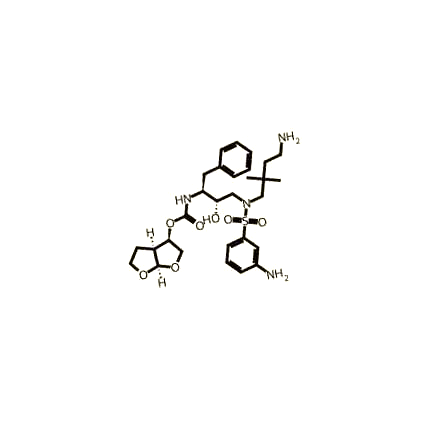 CC(C)(CCN)CN(C[C@H](O)[C@H](Cc1ccccc1)NC(=O)O[C@H]1CO[C@H]2OCC[C@H]21)S(=O)(=O)c1cccc(N)c1